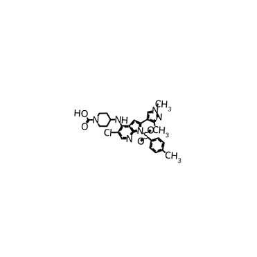 Cc1ccc(S(=O)(=O)n2c(-c3cn(C)nc3C)cc3c(NC4CCN(C(=O)O)CC4)c(Cl)cnc32)cc1